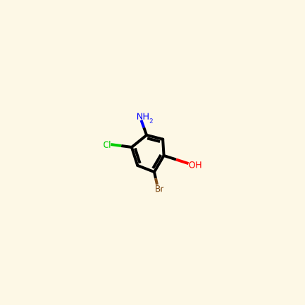 Nc1cc(O)c(Br)cc1Cl